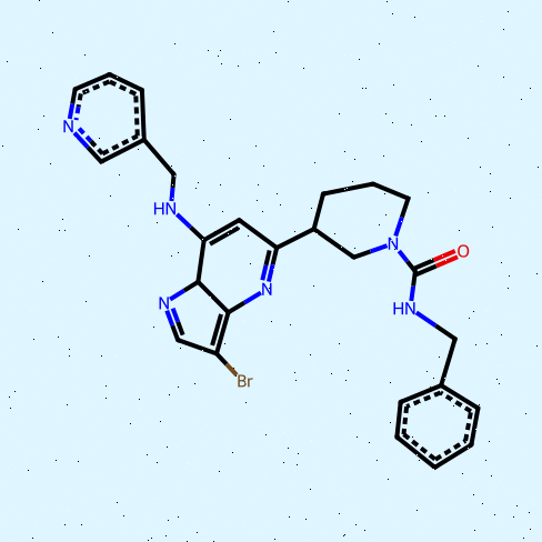 O=C(NCc1ccccc1)N1CCCC(C2=NC3=C(Br)C=NC3C(NCc3cccnc3)=C2)C1